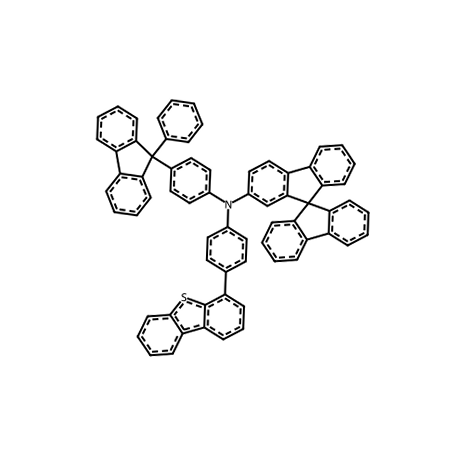 c1ccc(C2(c3ccc(N(c4ccc(-c5cccc6c5sc5ccccc56)cc4)c4ccc5c(c4)C4(c6ccccc6-c6ccccc64)c4ccccc4-5)cc3)c3ccccc3-c3ccccc32)cc1